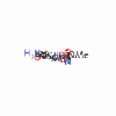 COC(=O)c1cncc(OC(=O)N2CCC(CCc3ccc(C(N)=O)cc3)CC2)c1